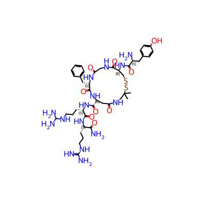 CC1(C)CNC(=O)C[C@H](C(=O)N[C@@H](CCCNC(N)N)C(=O)N[C@@H](CCCNC(=N)N)C(N)=O)NC(=O)[C@H](Cc2ccccc2)NC(=O)CNC(=O)[C@@H](NC(=O)[C@@H](N)Cc2ccc(O)cc2)CSS1